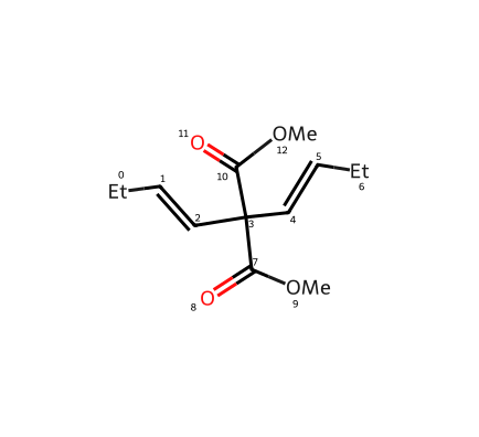 CC/C=C/C(/C=C/CC)(C(=O)OC)C(=O)OC